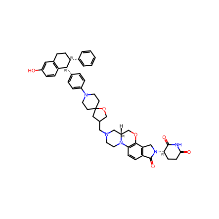 O=C1CC[C@H](N2Cc3c(ccc4c3OC[C@H]3CN(CC5COC6(CCN(c7ccc([C@@H]8c9ccc(O)cc9CC[C@@H]8c8ccccc8)cc7)CC6)C5)CCN43)C2=O)C(=O)N1